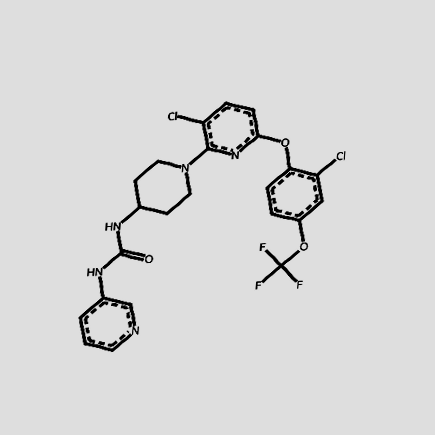 O=C(Nc1cccnc1)NC1CCN(c2nc(Oc3ccc(OC(F)(F)F)cc3Cl)ccc2Cl)CC1